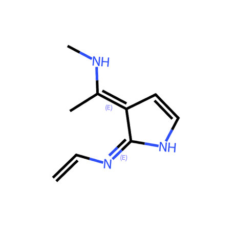 C=C/N=C1/NC=C/C1=C(/C)NC